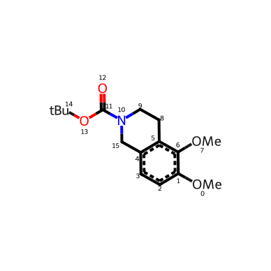 COc1ccc2c(c1OC)CCN(C(=O)OC(C)(C)C)C2